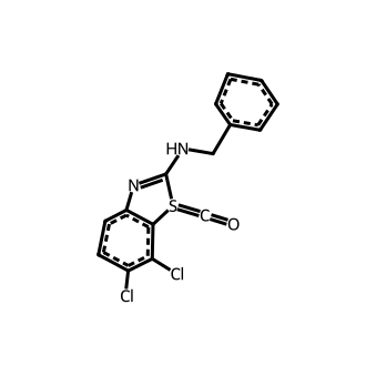 O=C=S1C(NCc2ccccc2)=Nc2ccc(Cl)c(Cl)c21